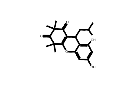 CC(C)CC1C2=C(Oc3cc(O)cc(O)c31)C(C)(C)C(=O)C(C)(C)C2=O